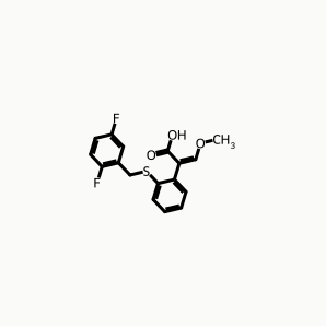 COC=C(C(=O)O)c1ccccc1SCc1cc(F)ccc1F